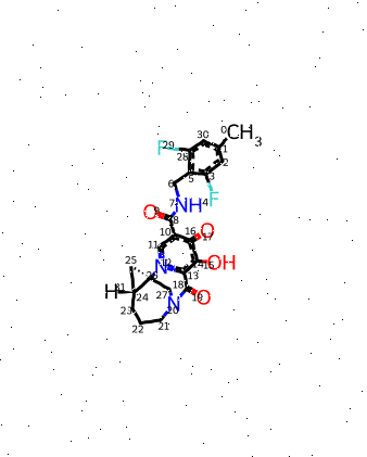 Cc1cc(F)c(CNC(=O)c2cn3c(c(O)c2=O)C(=O)N2CCC[C@@H]4C[C@]43C2)c(F)c1